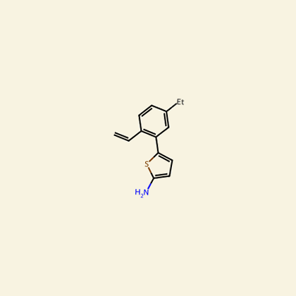 C=Cc1ccc(CC)cc1-c1ccc(N)s1